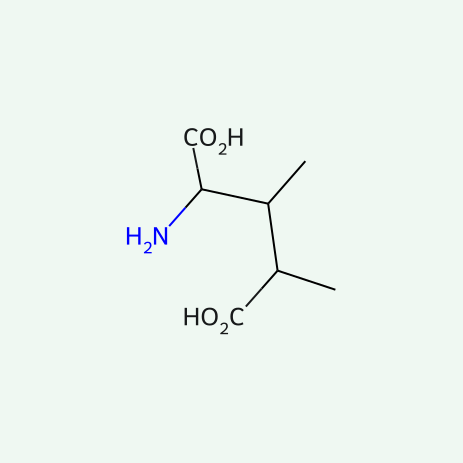 CC(C(=O)O)C(C)C(N)C(=O)O